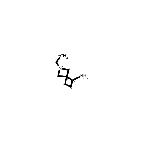 CCN1CC2(CCC2N)C1